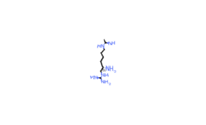 CC(=N)NCCCC[C@H](N)CNC(=N)N